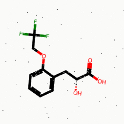 O=C(O)[C@H](O)Cc1ccccc1OCC(F)(F)F